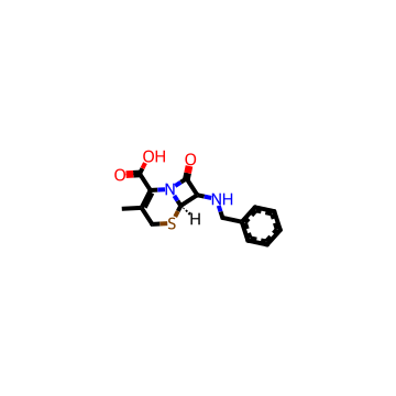 CC1=C(C(=O)O)N2C(=O)C(NCc3ccccc3)[C@H]2SC1